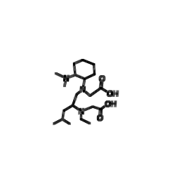 CCN(CC(=O)O)C(CC(C)C)CN(CC(=O)O)C1CCCCC1N(C)C